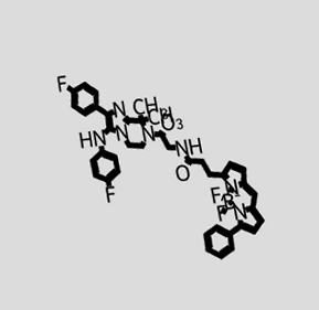 CC1(C)c2nc(-c3ccc(F)cc3)c(Nc3ccc(F)cc3)n2CCN1C(=O)CNC(=O)CCC1=[N+]2C(=Cc3ccc(-c4ccccc4)n3[B-]2(F)F)C=C1